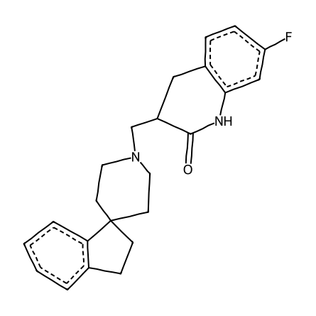 O=C1Nc2cc(F)ccc2CC1CN1CCC2(CCc3ccccc32)CC1